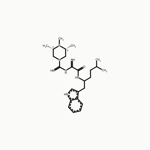 CC(C)CCC(Cc1c[nH]c2ccccc12)NC(=O)C(=N)NC(=N)N1C[C@@H](C)N(C)[C@@H](C)C1